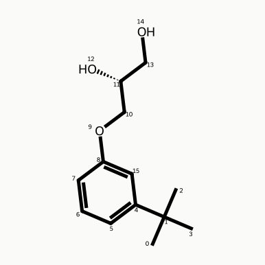 CC(C)(C)c1cccc(OC[C@H](O)CO)c1